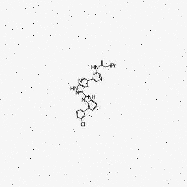 C=C(CC(C)C)Nc1cncc(-c2cnc3[nH]nc(-c4nc5c(-c6cccc(Cl)c6)cccc5[nH]4)c3c2)c1